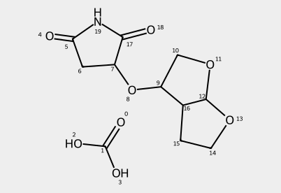 O=C(O)O.O=C1CC(OC2COC3OCCC23)C(=O)N1